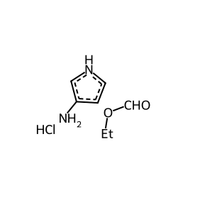 CCOC=O.Cl.Nc1cc[nH]c1